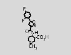 CN1CC[C@H](NC(=O)c2cc(-c3ccc(F)cc3F)on2)[C@@H](C(=O)O)C1